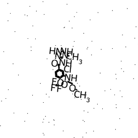 CCOCC(=O)Nc1c(OC(F)(F)F)ccc(C(=O)NC2=NNNN2C)c1Cl